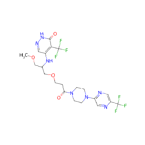 COCC(COCCC(=O)N1CCN(c2cnc(C(F)(F)F)cn2)CC1)Nc1cn[nH]c(=O)c1C(F)(F)F